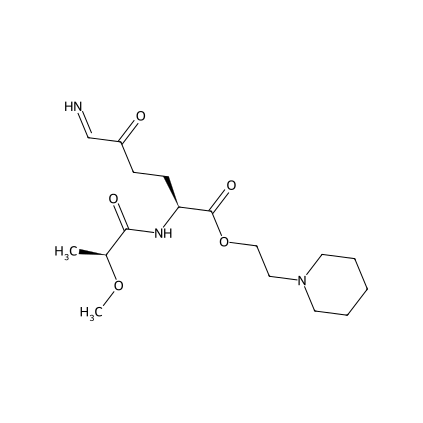 CO[C@@H](C)C(=O)N[C@@H](CCC(=O)C=N)C(=O)OCCN1CCCCC1